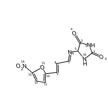 O=C1NC(=O)C(N=CC=Cc2ccc([N+](=O)[O-])o2)N1